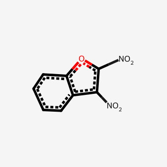 O=[N+]([O-])c1oc2ccccc2c1[N+](=O)[O-]